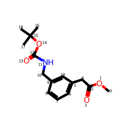 COC(=O)Cc1cccc(CNC(=O)OC(C)(C)C)c1